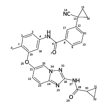 Cc1ccc(NC(=O)c2cccc(C3(C#N)CC3)c2)cc1Oc1ccc2nc(NC(=O)C3CC3)nn2c1